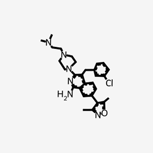 Cc1noc(C)c1-c1ccc2c(Cc3cccc(Cl)c3)c(N3CCN(CCN(C)C)CC3)nc(N)c2c1